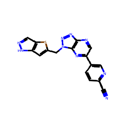 N#Cc1ccc(-c2cnc3nnn(Cc4cc5[nH]ncc5s4)c3n2)cn1